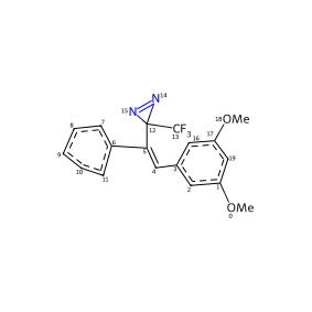 COc1cc(C=C(c2ccccc2)C2(C(F)(F)F)N=N2)cc(OC)c1